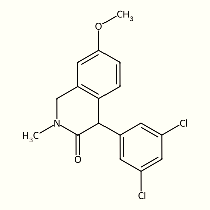 COc1ccc2c(c1)CN(C)C(=O)C2c1cc(Cl)cc(Cl)c1